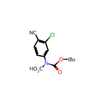 CC(C)(C)OC(=O)N(C(=O)O)c1ccc(C#N)c(Cl)c1